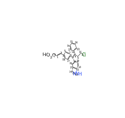 O=C(O)/C=C/c1ccc(/C(=C(/CCCl)c2ccccc2)c2ccc3[nH]ncc3c2)cc1